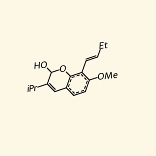 CCC=Cc1c(OC)ccc2c1OC(O)C(C(C)C)=C2